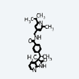 Cc1cc(CNC(=O)c2ccc([C@@H](C)[C@@]3(C)C(=O)Nc4ncccc43)cc2)cc(C(C)C)n1